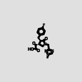 Cn1cnc(CN2C[C@H](C(=O)C(=O)O)[C@@H](Cc3ccc(F)cc3)C2=O)n1